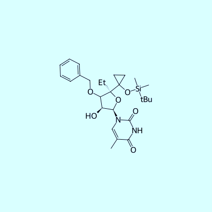 CC[C@]1(C2(O[Si](C)(C)C(C)(C)C)CC2)O[C@@H](n2cc(C)c(=O)[nH]c2=O)[C@@H](O)C1OCc1ccccc1